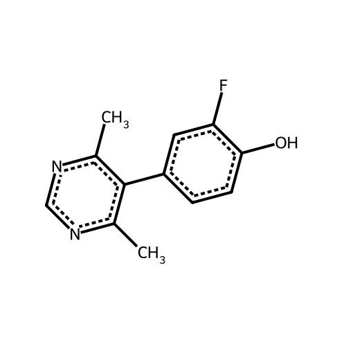 Cc1ncnc(C)c1-c1ccc(O)c(F)c1